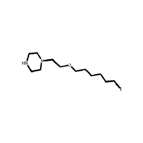 ICCCCCCOCCN1CCNCC1